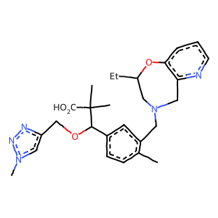 CCC1CN(Cc2cc(C(OCc3cn(C)nn3)C(C)(C)C(=O)O)ccc2C)Cc2ncccc2O1